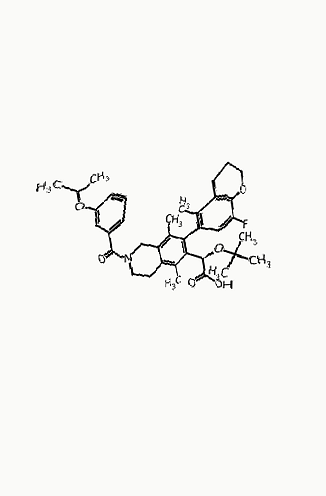 Cc1c(-c2c(C)c3c(c(C)c2[C@@H](OC(C)(C)C)C(=O)O)CCN(C(=O)c2cccc(OC(C)C)c2)C3)cc(F)c2c1CCCO2